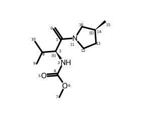 C=C([C@@H](NC(=O)OC)C(C)C)N1CC[C@H](C)C1